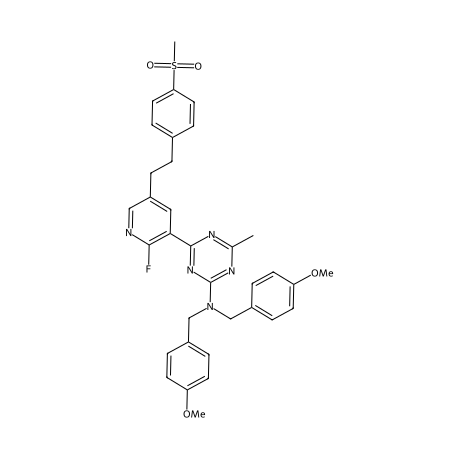 COc1ccc(CN(Cc2ccc(OC)cc2)c2nc(C)nc(-c3cc(CCc4ccc(S(C)(=O)=O)cc4)cnc3F)n2)cc1